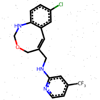 FC(F)(F)c1ccnc(NC/C2=C/c3cc(Cl)ccc3NCOC2)c1